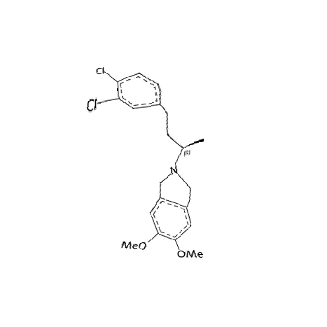 COc1cc2c(cc1OC)CN([C@H](C)CCc1ccc(Cl)c(Cl)c1)C2